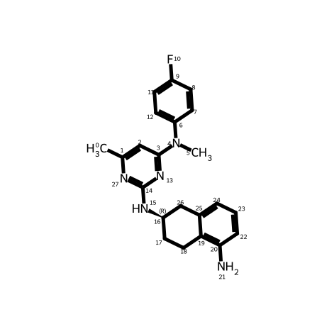 Cc1cc(N(C)c2ccc(F)cc2)nc(N[C@@H]2CCc3c(N)cccc3C2)n1